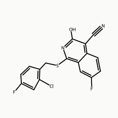 N#Cc1c(O)nc(SCc2ccc(F)cc2Cl)c2cc(F)ccc12